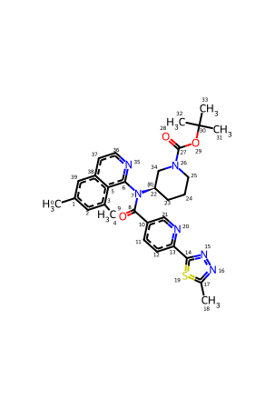 Cc1cc(C)c2c(N(C(=O)c3ccc(-c4nnc(C)s4)nc3)[C@@H]3CCCN(C(=O)OC(C)(C)C)C3)nccc2c1